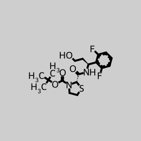 CC(C)(C)OC(=O)N1CCS[C@H]1C(=O)N[C@@H](CCO)c1c(F)cccc1F